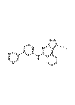 Cc1nnc2nc(Nc3cccc(-c4cncnc4)c3)c3ccccc3n12